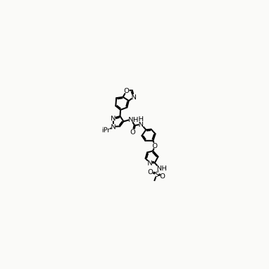 CC(C)n1cc(NC(=O)Nc2ccc(Oc3ccnc(NS(C)(=O)=O)c3)cc2)c(-c2ccc3ocnc3c2)n1